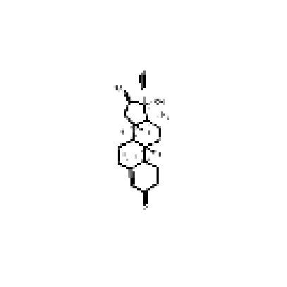 C#C[C@]1(O)C(=C)C[C@H]2[C@@H]3CCC4=CC(=O)CC[C@]4(C)[C@H]3CC[C@@]21C